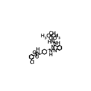 CC(C)(C)OC(=O)NNc1nc(NC[C@H]2CC[C@H](CNS(=O)(=O)c3cccc(Cl)c3)CC2)nc2ccccc12